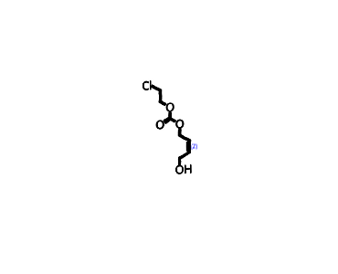 O=C(OC/C=C\CO)OCCCl